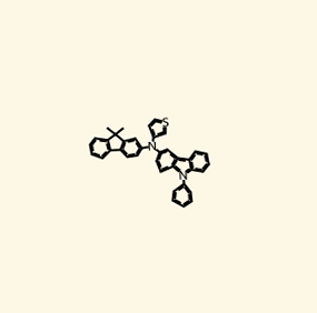 CC1(C)c2ccccc2-c2ccc(N(c3ccsc3)c3ccc4c(c3)c3ccccc3n4-c3ccccc3)cc21